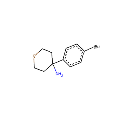 CC(C)(C)c1ccc(C2(N)CCSCC2)cc1